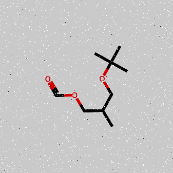 CC(CO[C]=O)COC(C)(C)C